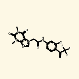 C=C(c1ccc(NC(=O)Cn2cnc3c2c(=O)n(C)c(=O)n3C)cc1Cl)C(F)(F)F